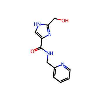 O=C(NCc1ccccn1)c1c[nH]c(CO)n1